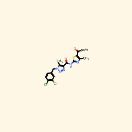 CNC(=O)c1sc(NC(=O)c2nnn(Cc3ccc(Cl)c(Cl)c3)c2C)nc1C